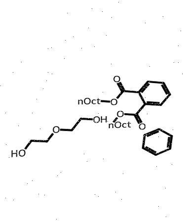 CCCCCCCCOC(=O)c1ccccc1C(=O)OCCCCCCCC.OCCOCCO.c1ccccc1